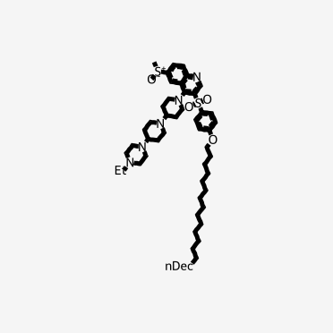 CCCCCCCCCCCCCCCCCCCCCCCCOc1ccc(S(=O)(=O)c2cnc3ccc([S+](C)[O-])cc3c2N2CCC(N3CCC(N4CCN(CC)CC4)CC3)CC2)cc1